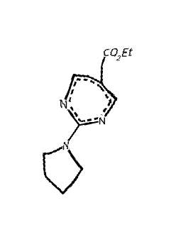 CCOC(=O)c1cnc(N2CCCC2)nc1